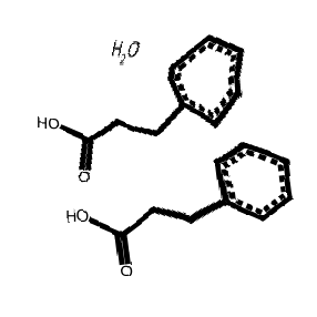 O.O=C(O)CCc1ccccc1.O=C(O)CCc1ccccc1